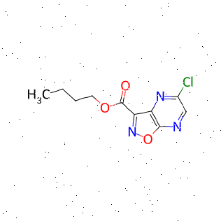 CCCCOC(=O)c1noc2ncc(Cl)nc12